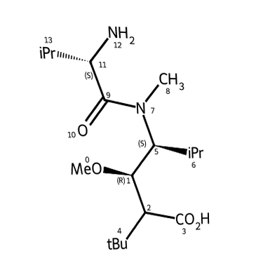 CO[C@H](C(C(=O)O)C(C)(C)C)[C@H](C(C)C)N(C)C(=O)[C@@H](N)C(C)C